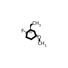 CC[C@H]1C[C@H](OC)CC[C@@H]1F